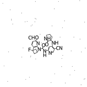 N#Cc1cnc(NC(=O)N2c3nc(C=O)ccc3C3(F)CC2C3)cc1NC1CCCNC1=O